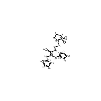 O=C(CCCN1CCCS1(=O)=O)N(Cc1cccs1)Cc1cccs1